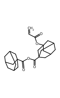 C=CC(=O)OC12CC3CC(C1)CC(C(=O)OC(=O)C14CC5CC(CC(C5)C1)C4)(C3)C2